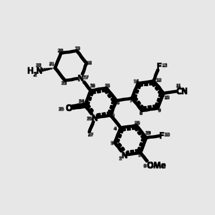 COc1ncc(-c2c(-c3ccc(C#N)c(F)c3)cc(N3CCC[C@@H](N)C3)c(=O)n2C)cc1F